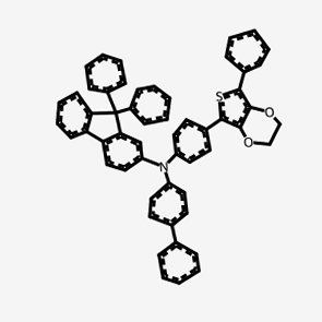 c1ccc(-c2ccc(N(c3ccc(-c4sc(-c5ccccc5)c5c4OCCO5)cc3)c3ccc4c(c3)C(c3ccccc3)(c3ccccc3)c3ccccc3-4)cc2)cc1